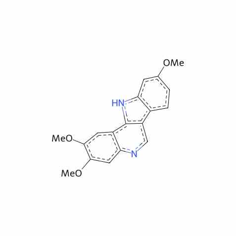 COc1ccc2c(c1)[nH]c1c3cc(OC)c(OC)cc3ncc21